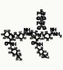 C[N+](C)(C)c1ccc(CNC(=O)c2cn(Cc3cccc(C(=N)N)c3)c3ccccc23)cc1.C[N+](C)(C)c1ccc(CNC(=O)c2cn(Cc3cccc(C(=N)N)c3)c3ccccc23)cc1.O=C([O-])C(F)(F)F.O=C([O-])C(F)(F)F